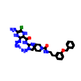 NN=NC1NC(N)=C(Cl)NC1C(=O)NC1NC2(CCN(C(=O)NCCc3cccc(OCc4ccccc4)c3)CC2)CN1N